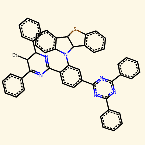 CCC1C(c2ccccc2)=NC(c2ccc(-c3nc(-c4ccccc4)nc(-c4ccccc4)n3)cc2N2c3ccccc3C3Sc4ccccc4C32)=NC1c1ccccc1